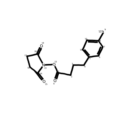 O=C(CCCc1ccc([123I])cc1)ON1C(=O)CCC1=O